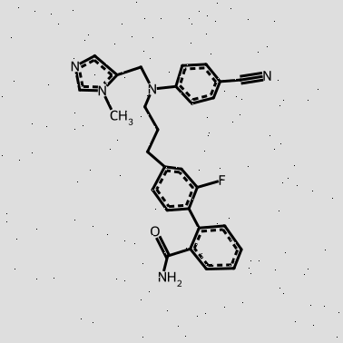 Cn1cncc1CN(CCCc1ccc(-c2ccccc2C(N)=O)c(F)c1)c1ccc(C#N)cc1